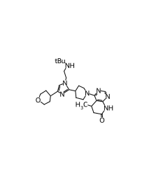 CC1CC(=O)Nc2ncnc(N3CCC(c4nc(C5CCOCC5)cn4CCNC(C)(C)C)CC3)c21